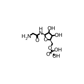 NCC(=O)N[C@@H]1O[C@H](COP(=O)(O)O)C(O)C1O